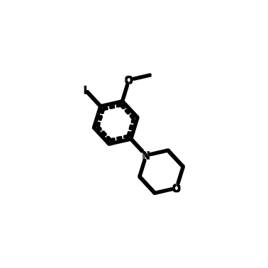 COc1cc(N2CCOCC2)ccc1I